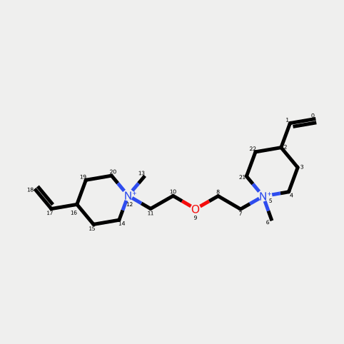 C=CC1CC[N+](C)(CCOCC[N+]2(C)CCC(C=C)CC2)CC1